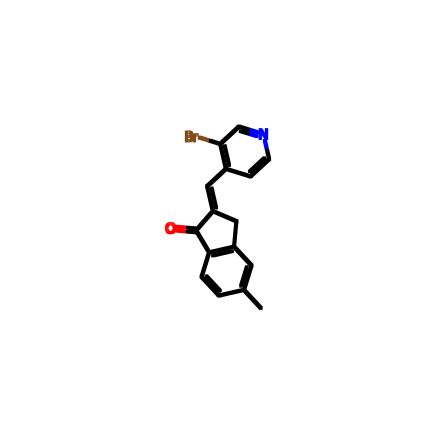 Cc1ccc2c(c1)C/C(=C\c1ccncc1Br)C2=O